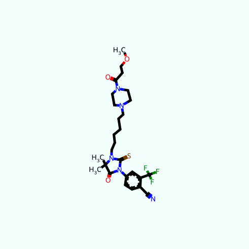 COCCC(=O)N1CCN(CCCCCCN2C(=S)N(c3ccc(C#N)c(C(F)(F)F)c3)C(=O)C2(C)C)CC1